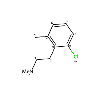 CNCCc1c(C)cccc1Cl